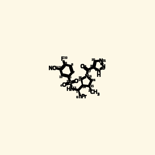 CCC[C@@H](NS(=O)(=O)c1ccc(F)c(C#N)c1)[C@H]1CN(C(=O)c2cnn[nH]2)C[C@H]1C